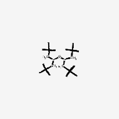 CC(C)(C)[SiH2][N]([SiH2]C(C)(C)C)[Sn][N]([SiH2]C(C)(C)C)[SiH2]C(C)(C)C